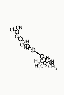 Cc1sc2c(c1C)C(c1ccc(C#CC3CCN(c4ccc(C(=O)N[C@H]5CC[C@H](Oc6ccc(C#N)c(Cl)c6)CC5)nn4)CC3)cc1)=NCc1nnc(C)n1-2